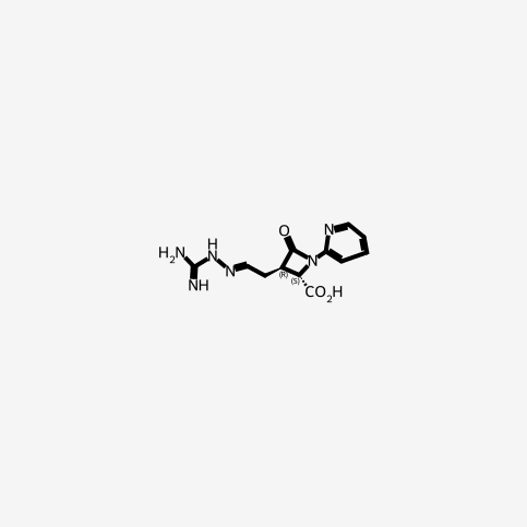 N=C(N)NN=CC[C@H]1C(=O)N(c2ccccn2)[C@@H]1C(=O)O